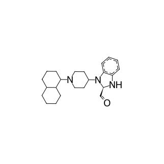 O=C[C@@H]1Nc2ccccc2N1C1CCN(C2CCCC3CCCCC32)CC1